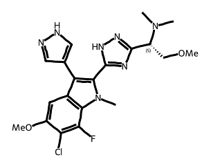 COC[C@H](c1n[nH]c(-c2c(-c3cn[nH]c3)c3cc(OC)c(Cl)c(F)c3n2C)n1)N(C)C